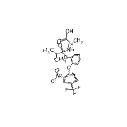 CC(C)P(=O)(N[C@@H](C)C(=O)O)Oc1ccccc1Oc1ncc(C(F)(F)F)cc1[N+](=O)[O-]